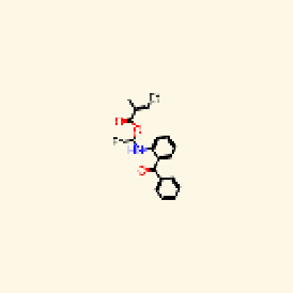 CCC=C(C)C(=O)OC(CC)Nc1ccccc1C(=O)c1ccccc1